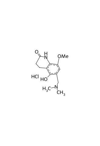 COc1cc(CN(C)C)c(O)c2c1NC(=O)CC2.Cl